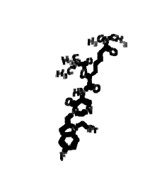 CC(C)Cn1c(Cn2cncc(NC(=O)[C@H](CC/C=C/C(=O)N(C)C)OC(=O)N(C)C)c2=O)cc2cc(F)ccc21